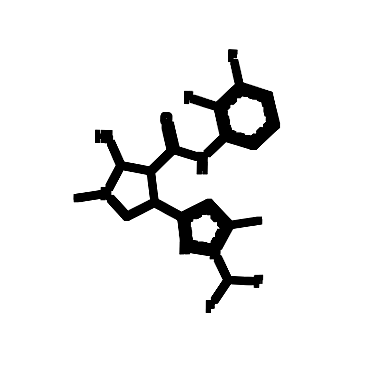 Cc1cc(C2CN(C)C(S)C2C(=O)Nc2cccc(F)c2F)nn1C(F)F